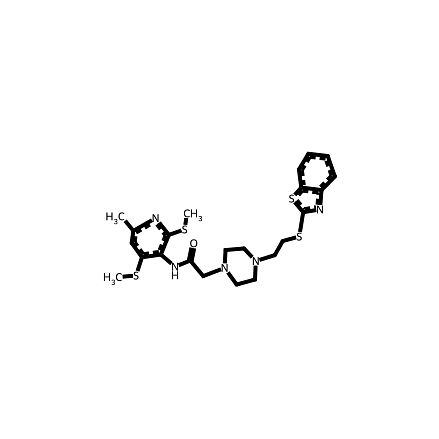 CSc1cc(C)nc(SC)c1NC(=O)CN1CCN(CCSc2nc3ccccc3s2)CC1